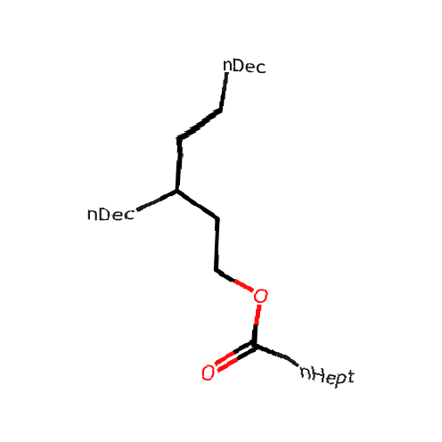 CCCCCCCCCCCCC(CCCCCCCCCC)CCOC(=O)CCCCCCC